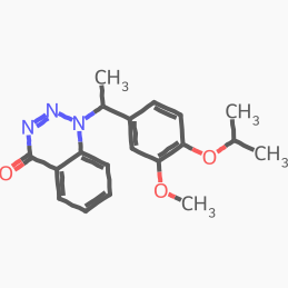 COc1cc(C(C)n2nnc(=O)c3ccccc32)ccc1OC(C)C